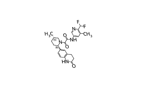 Cc1cc(NC(=O)C(=O)N2C[C@@H](C)CC[C@@H]2c2ccc3c(c2)CCC(=O)N3)cnc1C(F)F